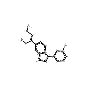 CC/C(=C\NC)c1ccn2c(-c3cccc(N)c3)cnc2c1